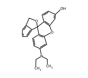 CCN(CC)c1ccc2c(c1)Oc1cc(O)ccc1C21OCc2ccccc21